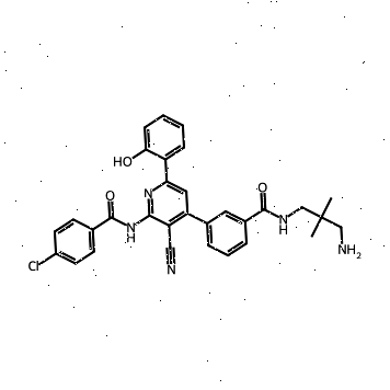 CC(C)(CN)CNC(=O)c1cccc(-c2cc(-c3ccccc3O)nc(NC(=O)c3ccc(Cl)cc3)c2C#N)c1